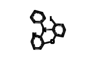 Ic1cccc2c1N(c1ccccc1)c1ncccc1O2